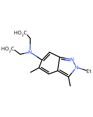 CCn1nc2cc(N(CC(=O)O)CC(=O)O)c(C)cc2c1C